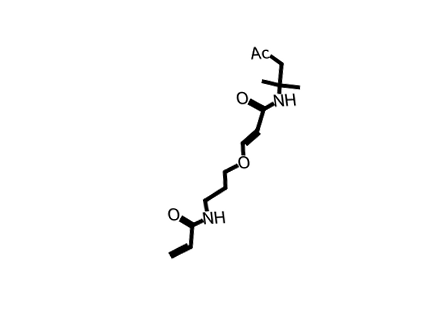 C=CC(=O)NCCCO/C=C/C(=O)NC(C)(C)CC(C)=O